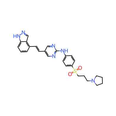 O=S(=O)(CCCN1CCCC1)c1ccc(Nc2ncc(/C=C/c3cccc4[nH]ncc34)cn2)cc1